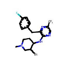 CCC1CN(C)CCC1Nc1ncc(C(F)(F)F)nc1Cc1ccc(F)cc1